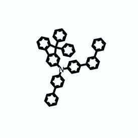 c1ccc(-c2ccc(N(c3ccc(-c4cccc(-c5ccccc5)c4)cc3)c3ccc4c(c3)C(c3ccccc3)(c3ccccc3)c3ccccc3-4)cc2)cc1